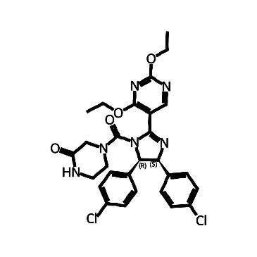 CCOc1ncc(C2=N[C@@H](c3ccc(Cl)cc3)[C@@H](c3ccc(Cl)cc3)N2C(=O)N2CCNC(=O)C2)c(OCC)n1